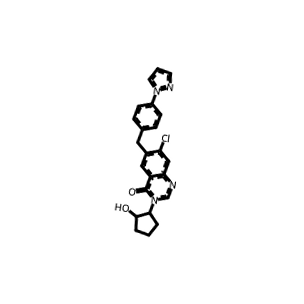 O=c1c2cc(Cc3ccc(-n4cccn4)cc3)c(Cl)cc2ncn1C1CCCC1O